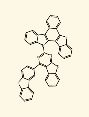 c1ccc2c(c1)oc1ccc(-c3nc(-n4c5ccccc5c5c6ccccc6c6sc7ccccc7c6c54)nc4sc5ccccc5c34)cc12